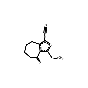 CSc1sc(C#N)c2c1C(=O)CCCC2